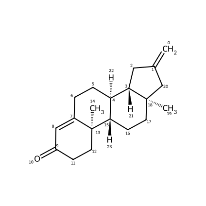 C=C1C[C@H]2[C@@H]3CCC4=CC(=O)CC[C@]4(C)[C@H]3CC[C@]2(C)C1